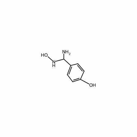 NC(NO)c1ccc(O)cc1